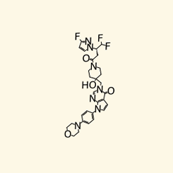 O=C(C[C@H](C(F)F)n1ccc(F)n1)N1CCC(O)(Cn2cnc3c(ccn3-c3ccc(N4CCOCC4)cc3)c2=O)CC1